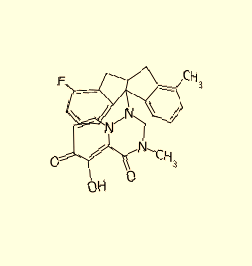 Cc1cccc2c1CC1Cc3c(F)cccc3C21N1CN(C)C(=O)c2c(O)c(=O)ccn21